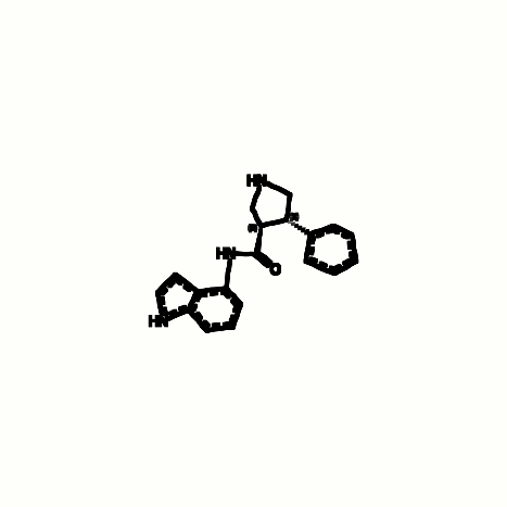 O=C(Nc1cccc2[nH]ccc12)[C@H]1CNC[C@@H]1c1ccccc1